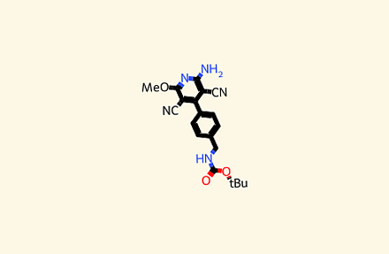 COc1nc(N)c(C#N)c(-c2ccc(CNC(=O)OC(C)(C)C)cc2)c1C#N